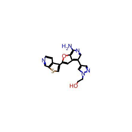 Nc1ncc(-c2cnn(CCO)c2)c2cc(-c3csc4cnccc34)oc12